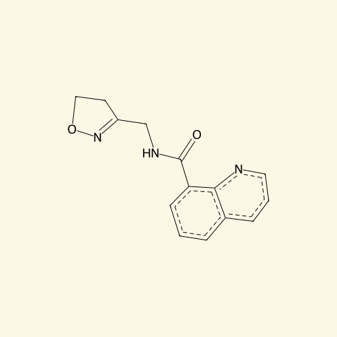 O=C(NCC1=NOCC1)c1cccc2cccnc12